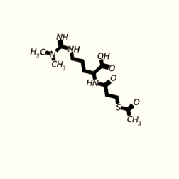 CC(=O)SCCC(=O)NC(CCCNC(=N)N(C)C)C(=O)O